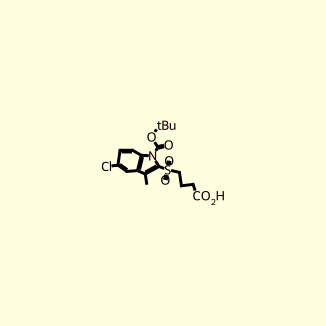 Cc1c(S(=O)(=O)CCCC(=O)O)n(C(=O)OC(C)(C)C)c2ccc(Cl)cc12